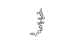 O=C(NCCNC(=O)c1cc2c(F)cc(F)cc2s1)c1ccc(O[C@H]2CC[C@@H](C(=O)O)CC2)cc1